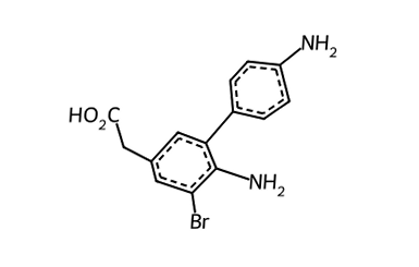 Nc1ccc(-c2cc(CC(=O)O)cc(Br)c2N)cc1